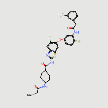 COCC(=O)NC1CCC(C(=O)Nc2nc3cc(F)c(Oc4ccc(F)c(NC(=O)Cc5cccc(C(F)(F)F)c5)c4)cc3s2)CC1